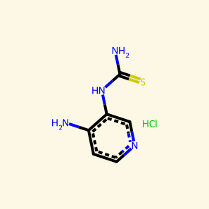 Cl.NC(=S)Nc1cnccc1N